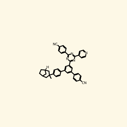 CC1(c2ccc(-c3cc(-c4ccc(C#N)cc4)cc(-c4nc(-c5ccncc5)nc(-c5ccc(C#N)cc5)n4)c3)cc2)CC2CC[C@@H](C2)C1